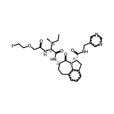 CC[C@H](C)[C@H](NC(=O)COCCF)C(=O)N[C@H]1CCc2cccc3c2N(C1=O)[C@H](C(=O)NCc1cncnc1)C3